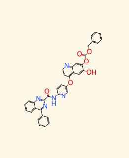 O=C(OCc1ccccc1)Oc1cc2nccc(Oc3ccc(NC(=O)c4nc(-c5ccccc5)c5ccccc5n4)nc3)c2cc1O